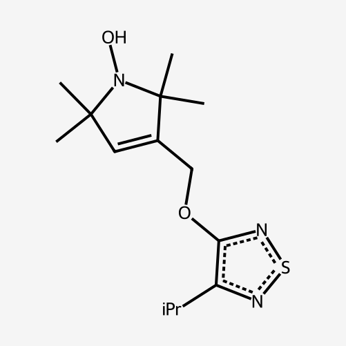 CC(C)c1nsnc1OCC1=CC(C)(C)N(O)C1(C)C